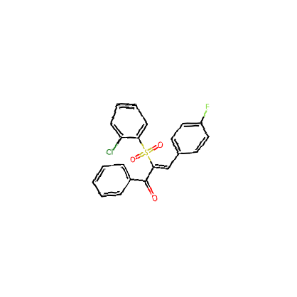 O=C(C(=Cc1ccc(F)cc1)S(=O)(=O)c1ccccc1Cl)c1ccccc1